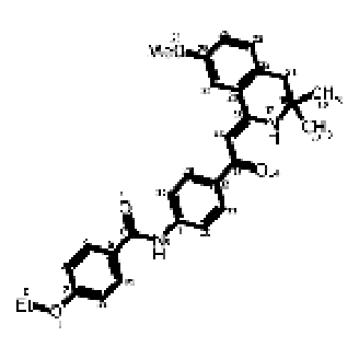 CCOc1ccc(C(=O)Nc2ccc(C(=O)C=C3NC(C)(C)Cc4ccc(OC)cc43)cc2)cc1